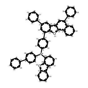 c1ccc(-c2ccc(N(c3ccc(-c4cc(-c5ccccc5)cc5c4oc4c6ccccc6c(-c6ccccc6)cc54)cc3)c3cccc4c3oc3ccccc34)cc2)cc1